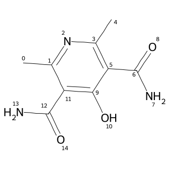 Cc1nc(C)c(C(N)=O)c(O)c1C(N)=O